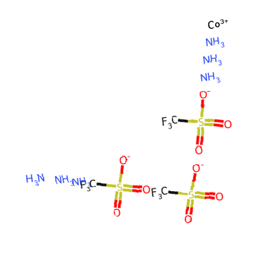 N.N.N.N.N.N.O=S(=O)([O-])C(F)(F)F.O=S(=O)([O-])C(F)(F)F.O=S(=O)([O-])C(F)(F)F.[Co+3]